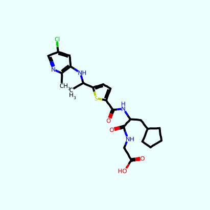 Cc1ncc(Cl)cc1NC(C)c1ccc(C(=O)NC(CC2CCCC2)C(=O)NCC(=O)O)s1